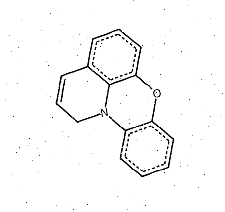 C1=Cc2cccc3c2N(C1)c1ccccc1O3